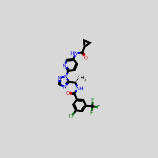 C[C@H](NC(=O)c1cc(Cl)cc(C(F)(F)F)c1)c1ncnn1-c1ccc(NC(=O)C2CC2)cn1